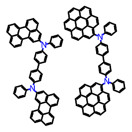 c1ccc(N(c2ccc(-c3ccc(N(c4ccccc4)c4cc5ccc6ccc7ccc8ccc9ccc4c4c9c8c7c6c54)cc3)cc2)c2cc3ccc4ccc5ccc6ccc7ccc2c2c7c6c5c4c32)cc1.c1ccc(N(c2ccc(-c3ccc(N(c4ccccc4)c4cc5cccc6c7cccc8cccc(c(c4)c56)c87)cc3)cc2)c2cc3cccc4c5cccc6cccc(c(c2)c34)c65)cc1